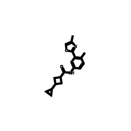 Cc1coc(-c2cc(NC(=O)C3CC(C4CC4)C3)ccc2C)n1